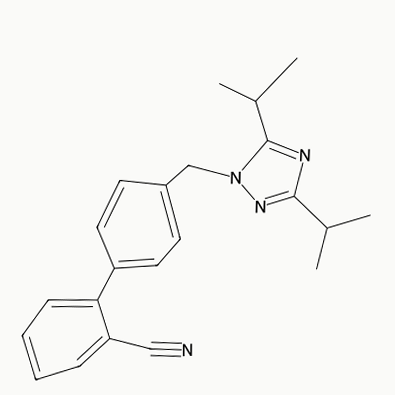 CC(C)c1nc(C(C)C)n(Cc2ccc(-c3ccccc3C#N)cc2)n1